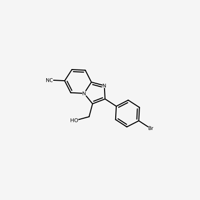 N#Cc1ccc2nc(-c3ccc(Br)cc3)c(CO)n2c1